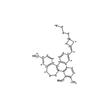 COc1c(C)cccc1C1=C(c2ccc(C=C3CN(CCCF)C3)cc2)c2ccc(C(=O)O)cc2CCC1